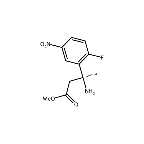 COC(=O)C[C@](C)(N)c1cc([N+](=O)[O-])ccc1F